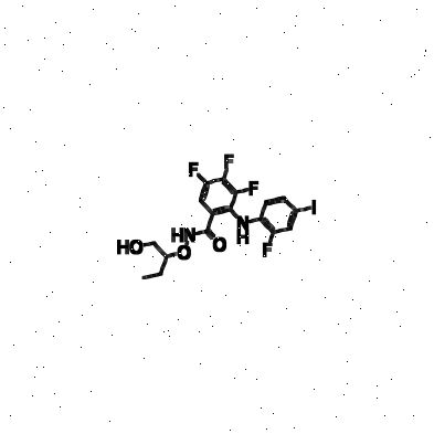 CCC(CO)ONC(=O)c1cc(F)c(F)c(F)c1Nc1ccc(I)cc1F